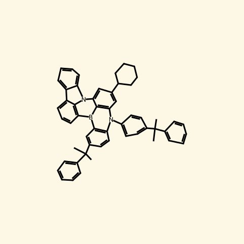 CC(C)(c1ccccc1)c1ccc(N2c3ccc(C(C)(C)c4ccccc4)cc3B3c4c2cc(C2CCCCC2)cc4-n2c4ccccc4c4cccc3c42)cc1